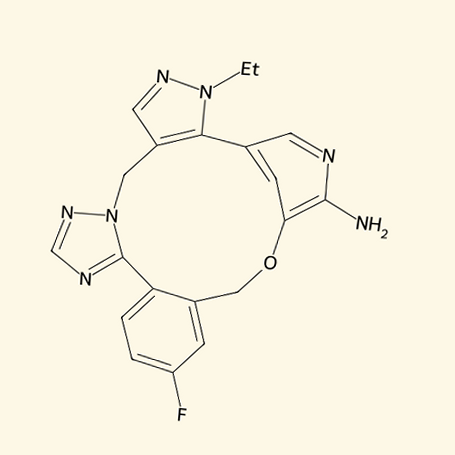 CCn1ncc2c1-c1cnc(N)c(c1)OCc1cc(F)ccc1-c1ncnn1C2